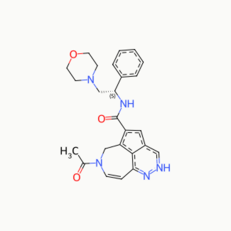 CC(=O)N1C=Cc2n[nH]cc3cc(C(=O)N[C@H](CN4CCOCC4)c4ccccc4)c(c2-3)C1